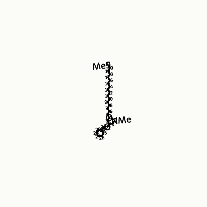 CNCC(COCCCCCCCCCCCCCCCCSC)OCc1ccccc1